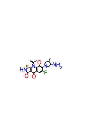 C=C1COc2c(N3CC(C)C(N)C3)c(F)cc3c(=O)c4c(=O)[nH]sc4n1c23